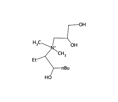 CCCCC(O)C(CC)[N+](C)(C)CC(O)CO